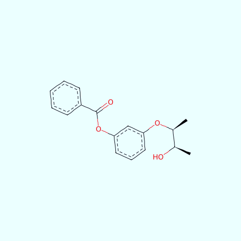 C[C@H](Oc1cccc(OC(=O)c2ccccc2)c1)[C@@H](C)O